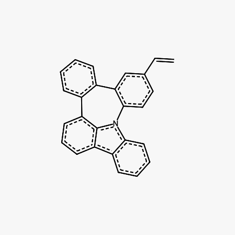 C=Cc1ccc2c(c1)-c1ccccc1-c1cccc3c4ccccc4n-2c13